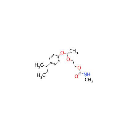 CCC(C)c1ccc(OC(C)OCCOC(=O)NC)cc1